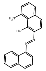 Nc1cccc2ccc(N=Nc3cccc4ccccc34)c(O)c12